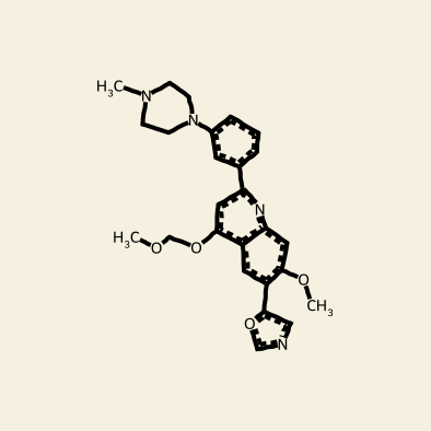 COCOc1cc(-c2cccc(N3CCN(C)CC3)c2)nc2cc(OC)c(-c3cnco3)cc12